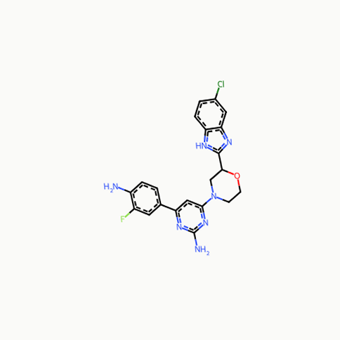 Nc1nc(-c2ccc(N)c(F)c2)cc(N2CCOC(c3nc4cc(Cl)ccc4[nH]3)C2)n1